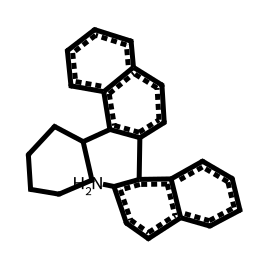 Nc1ccc2ccccc2c1-c1ccc2ccccc2c1C1CCCCC1